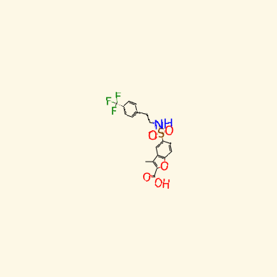 Cc1c(C(=O)O)oc2ccc(S(=O)(=O)NCCc3ccc(C(F)(F)F)cc3)cc12